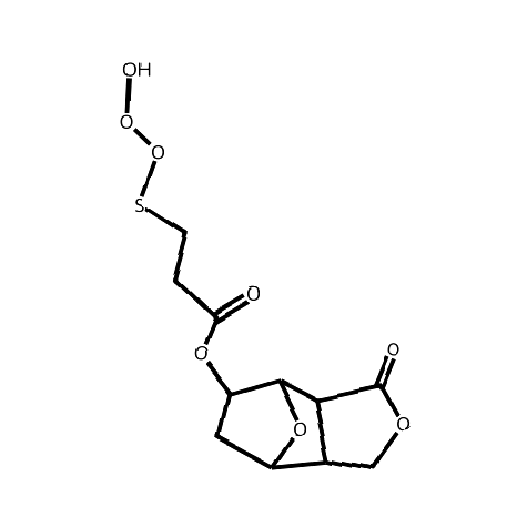 O=C(CCSOOO)OC1CC2OC1C1C(=O)OCC21